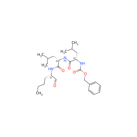 CCCC[C@@H](C=O)NC(=O)[C@H](CC(C)C)NC(=O)[C@H](CC(C)C)NC(=O)OCc1ccccc1